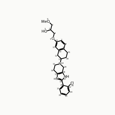 COCC(O)COc1ccc2c(c1)CC(N1CCc3nc(-c4ccccc4Cl)[nH]c3C1)CC2